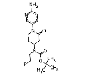 CC(C)(C)OC(=O)N(CCF)C1CCN(c2ccc(N)nc2)C(=O)C1